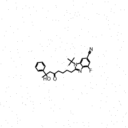 CC(O)(CC(=O)CCCCc1nc2c(F)cc(C#N)cc2n1C(C)(C)C)c1ccccc1